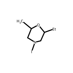 CCC1CN(I)CC(C)O1